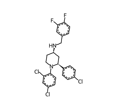 Fc1ccc(CN[C@@H]2CCN(c3ccc(Cl)cc3Cl)[C@H](c3ccc(Cl)cc3)C2)cc1F